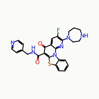 O=C(NCc1ccncc1)c1c(=O)c2cc(F)c(N3CCCNCC3)nc2n2c1sc1ccccc12